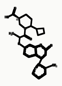 Cc1ccccc1-c1cc(=O)oc2cc(OC(C)C(=O)N3C[C@@H](C(=O)O)CCC3C3CCC3)ccc12